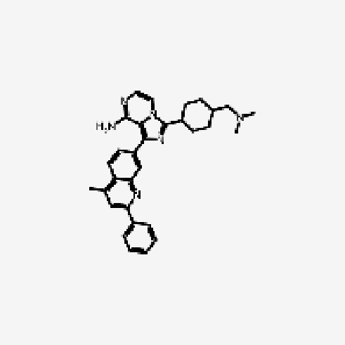 Cc1cc(-c2ccccc2)nc2cc(-c3nc(C4CCC(CN(C)C)CC4)n4ccnc(N)c34)ccc12